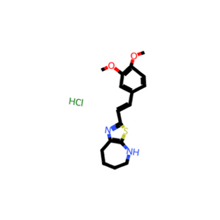 COc1ccc(C=Cc2nc3c(s2)NCCCC3)cc1OC.Cl